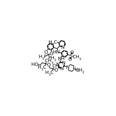 BN1CCN(c2nc(Nc3cc(S(C)(=O)=O)ccc3NC(c3cccc4c3OC(P)(P)O4)c3ncccc3C)nc(OC(C)(C)COC(C)(C)CCO)n2)CC1